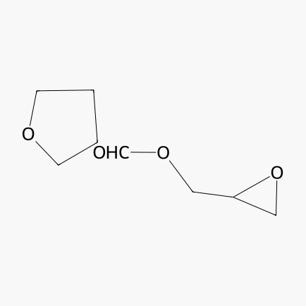 C1CCOC1.O=COCC1CO1